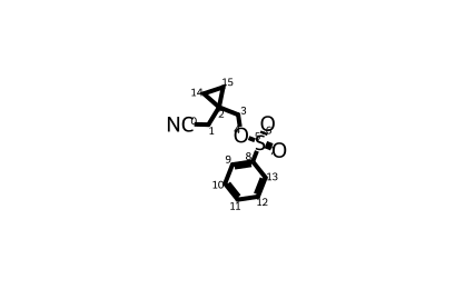 N#CCC1(COS(=O)(=O)c2ccccc2)CC1